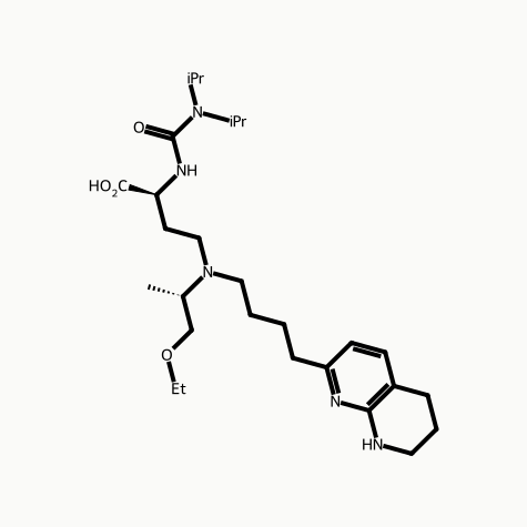 CCOC[C@H](C)N(CCCCc1ccc2c(n1)NCCC2)CC[C@H](NC(=O)N(C(C)C)C(C)C)C(=O)O